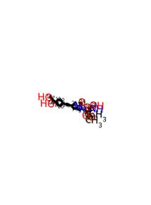 C[C@@](CCN1Cc2cc(C#Cc3ccc([C@H](O)CO)cc3)cn2C1=O)(C(=O)NO)S(C)(=O)=O